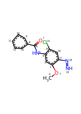 COc1cc(NC(=O)c2ccccc2)c(Cl)cc1N=N